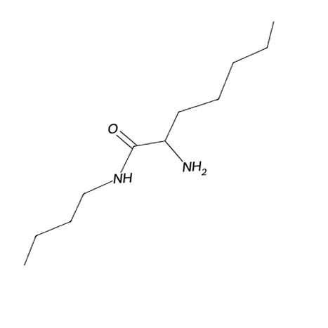 CCCCCC(N)C(=O)NCCCC